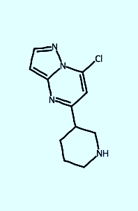 Clc1cc(C2CCCNC2)nc2ccnn12